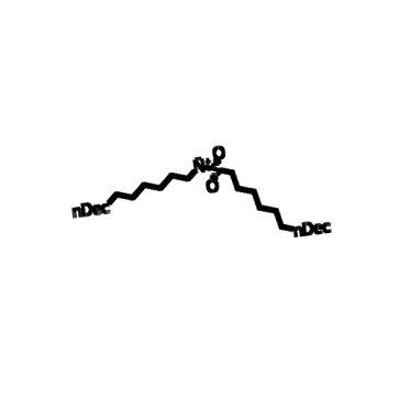 CCCCCCCCCCCCCCCC[N+]S(=O)(=O)CCCCCCCCCCCCCCCC